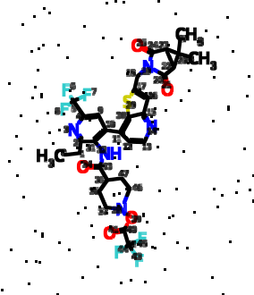 CCc1nc(C(F)(F)F)cc(-c2ccnc3cc(CN4C(=O)C5C(C4=O)C5(C)C)sc23)c1NC(=O)C1CCN(OC(=O)C(F)(F)F)CC1